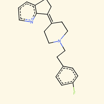 Fc1ccc(CCN2CCC(=C3CCc4cccnc43)CC2)cc1